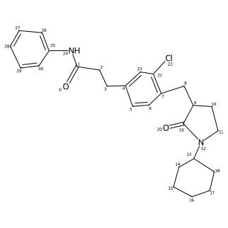 O=C(CCc1ccc(CC2CCN(C3CCCCC3)C2=O)c(Cl)c1)Nc1ccccc1